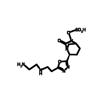 NCCNCCc1nnc([C@@H]2CCC3CN2C(=O)N3OS(=O)(=O)O)o1